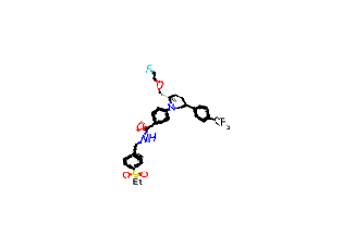 CCS(=O)(=O)c1ccc(CNC(=O)c2ccc(N3CC(c4ccc(C(F)(F)F)cc4)CC[C@H]3COCCF)cc2)cc1